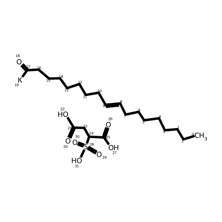 CCCCCCCCC=CCCCCCCC[C](=O)[K].O=C(O)CC(C(=O)O)S(=O)(=O)O